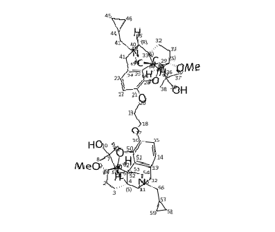 CO[C@@]12CC[C@@]3(C[C@@H]1C(C)(C)O)C1Cc4ccc(OCCOc5ccc6c7c5O[C@H]5[C@]8(OC)CC[C@@]9(C[C@@H]8C(C)(C)O)[C@@H](C6)N(CC6CC6)CC[C@]759)c5c4[C@@]3(CCN1CC1CC1)[C@H]2O5